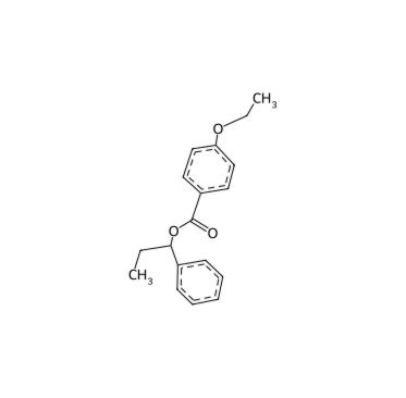 CCOc1ccc(C(=O)OC(CC)c2ccccc2)cc1